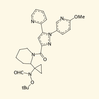 COc1ccc(-n2nc(C(=O)N3CCCCC3C3(N(C=O)OC(C)(C)C)CC3)cc2-c2ccccn2)cn1